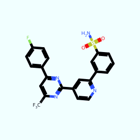 NS(=O)(=O)c1cccc(-c2cc(-c3nc(-c4ccc(F)cc4)cc(C(F)(F)F)n3)ccn2)c1